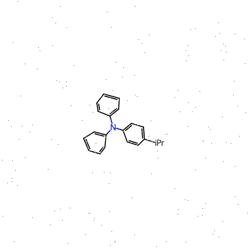 CC(C)c1ccc(N(c2ccccc2)c2ccccc2)cc1